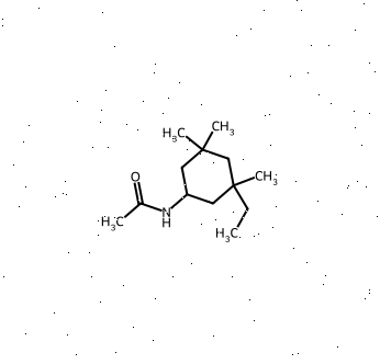 CCC1(C)CC(NC(C)=O)CC(C)(C)C1